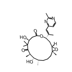 C/C(=C\c1ccnc(C)n1)[C@@H]1C[C@@H]2O[C@]2(C)CCC[C@H](C)[C@H](O)[C@@H](C)C(=O)C(C)(C)[C@@H](O)CC(=O)O1